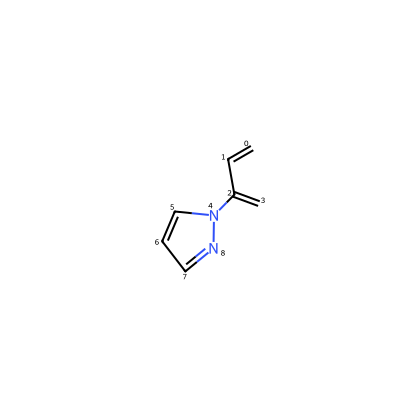 C=CC(=C)n1cccn1